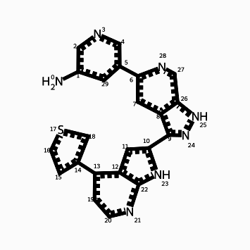 Nc1cncc(-c2cc3c(-c4cc5c(-c6ccsc6)ccnc5[nH]4)n[nH]c3cn2)c1